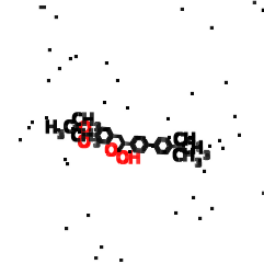 CC(C)(C)OC(=O)c1ccc(CC(C(=O)O)c2ccc(-c3ccc(C(C)(C)C)cc3)cc2)cc1